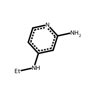 CCNc1ccnc(N)c1